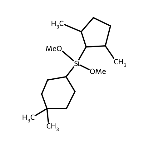 CO[Si](OC)(C1CCC(C)(C)CC1)C1C(C)CCC1C